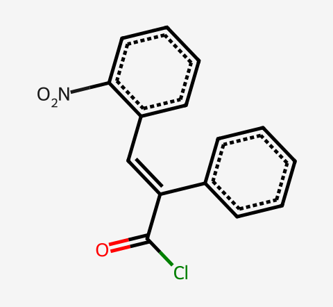 O=C(Cl)/C(=C/c1ccccc1[N+](=O)[O-])c1ccccc1